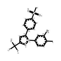 Cc1ccc(-n2nc(C(F)(F)F)cc2-c2ccc(S(C)(=O)=O)cc2)cc1Br